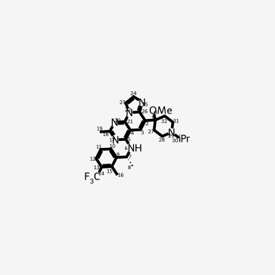 COC1(c2cc3c(N[C@H](C)c4cccc(C(F)(F)F)c4C)nc(C)nc3n3ccnc23)CCN(C(C)C)CC1